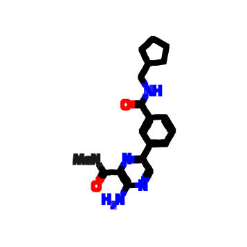 CNC(=O)c1nc(-c2cccc(C(=O)NCC3CCCC3)c2)cnc1N